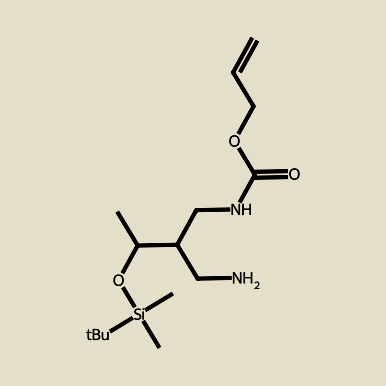 C=CCOC(=O)NCC(CN)C(C)O[Si](C)(C)C(C)(C)C